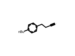 [C]#CCCc1ccc(CCCC)cc1